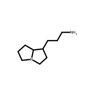 NCCCC1CCN2CCCC12